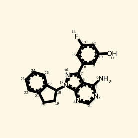 Nc1ncnc2c1c(-c1cc(O)cc(F)c1)nn2C1CCc2ccccc21